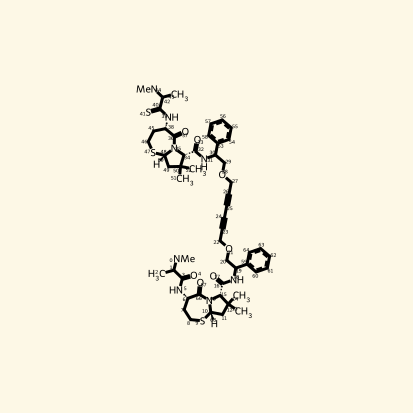 CNC(C)C(=O)N[C@H]1CCS[C@H]2CC(C)(C)[C@@H](C(=O)NC(COCC#CC#CCOCC(NC(=O)[C@H]3N4C(=O)[C@@H](NC(=S)C(C)NC)CCS[C@H]4CC3(C)C)c3ccccc3)c3ccccc3)N2C1=O